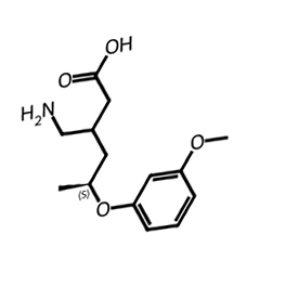 COc1cccc(O[C@@H](C)CC(CN)CC(=O)O)c1